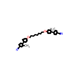 Cc1cc(C#N)ccc1-c1ccc(OCCCCCCCCCOc2ccc(-c3ccc(C#N)cc3C)cc2)cc1